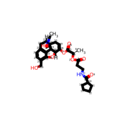 C[C@H](OC(=O)CCNC(=O)C1CCCC1)C(=O)OC1=CC[C@@]2(O)[C@H]3Cc4ccc(CO)c5c4[C@@]2(CCN3C)[C@H]1O5